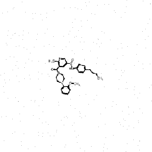 CCCCc1ccc(N[S+]([O-])c2cnc(C)c(C(=O)N3CCN(c4ccccc4OC)CC3)c2)cc1